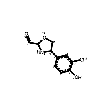 O=CC1NC(c2ccc(O)c(Cl)c2)CO1